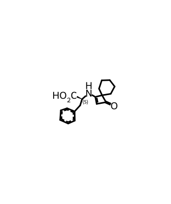 O=C(O)[C@H](Cc1ccccc1)NC1=CC(=O)C12CCCCC2